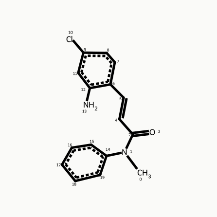 CN(C(=O)C=Cc1ccc(Cl)cc1N)c1ccccc1